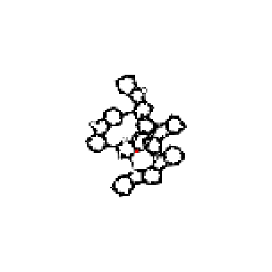 c1ccc(-c2nc(-c3cccc4oc5ccc(-c6cc(-n7c8ccccc8c8ccccc87)cc7oc8ccccc8c67)cc5c34)nc(-n3c4ccccc4c4ccc5c6ccccc6n(-c6ccccc6)c5c43)n2)cc1